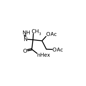 CCCCCCC(=O)C(C)(N=N)C(COC(C)=O)OC(C)=O